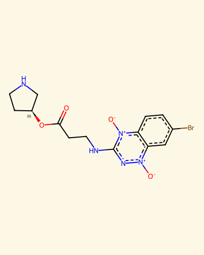 O=C(CCNc1n[n+]([O-])c2cc(Br)ccc2[n+]1[O-])O[C@H]1CCNC1